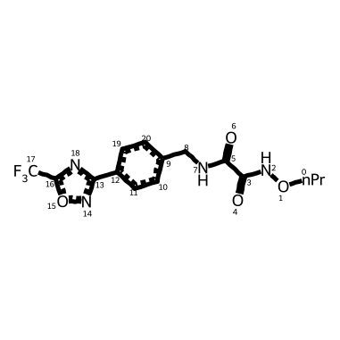 CCCONC(=O)C(=O)NCc1ccc(-c2noc(C(F)(F)F)n2)cc1